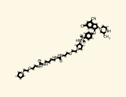 C[C@@H]1CN([C@H]2Cc3c(C#N)cc(Cl)cc3C2Oc2ccc(S(=O)(=O)N[C@H]3CCN(CCOCCNC(=O)NCCCCNC(=O)NCCOCCN4CCCC4)C3)cc2)CCN1